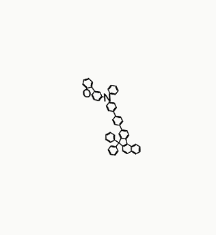 c1ccc(N(c2ccc(-c3ccc(-c4ccc5c(c4)C(c4ccccc4)(c4ccccc4)c4ccc6ccccc6c4-5)cc3)cc2)c2ccc3oc4ccccc4c3c2)cc1